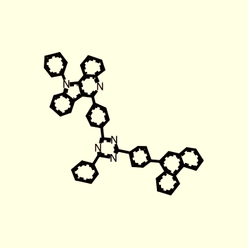 c1ccc(-c2nc(-c3ccc(-c4cc5ccccc5c5ccccc45)cc3)nc(-c3ccc(-c4nc5ccccc5c5c4c4ccccc4n5-c4ccccc4)cc3)n2)cc1